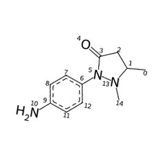 CC1CC(=O)N(c2ccc(N)cc2)N1C